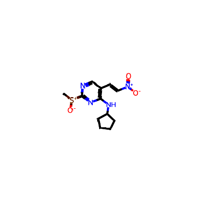 C[S+]([O-])c1ncc(C=C[N+](=O)[O-])c(NC2CCCC2)n1